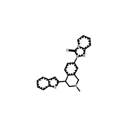 CN1Cc2cc(-n3nc4ccccn4c3=O)ccc2C(c2cc3ccccc3s2)C1